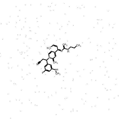 C=C(/N=C(\C=C/C)C1=CC(=C)N(C(CC#N)c2cc(F)cc(PC)c2)C=C1)NCCC